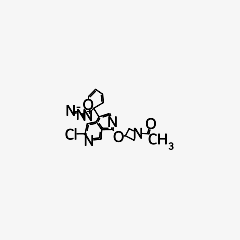 CC(=O)N1CC(Oc2ncc(C3(N=[N+]=[N-])C=CC=CO3)c3cc(Cl)ncc23)C1